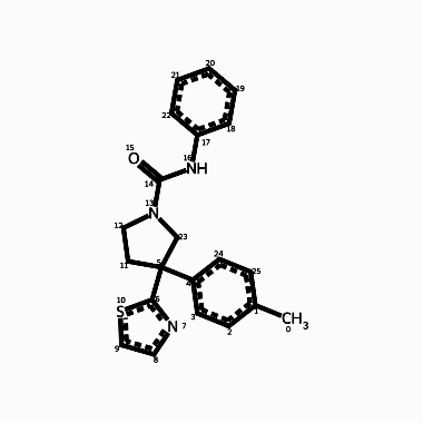 Cc1ccc(C2(c3nccs3)CCN(C(=O)Nc3ccccc3)C2)cc1